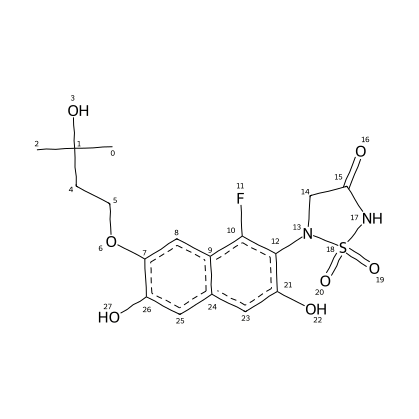 CC(C)(O)CCOc1cc2c(F)c(N3CC(=O)NS3(=O)=O)c(O)cc2cc1O